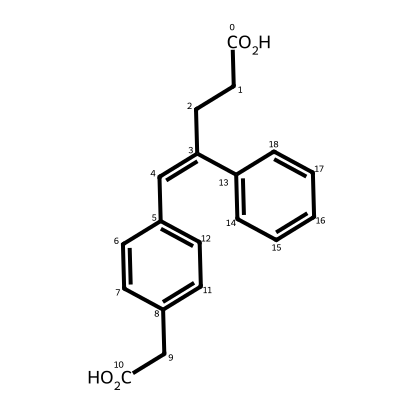 O=C(O)CCC(=Cc1ccc(CC(=O)O)cc1)c1ccccc1